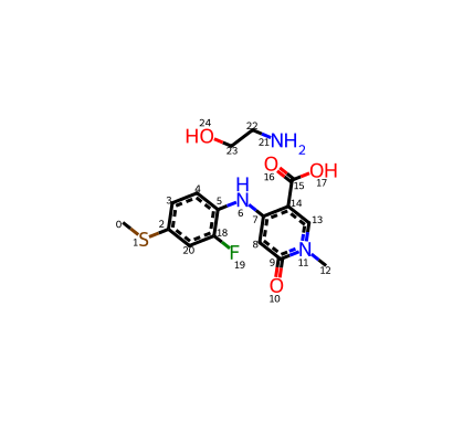 CSc1ccc(Nc2cc(=O)n(C)cc2C(=O)O)c(F)c1.NCCO